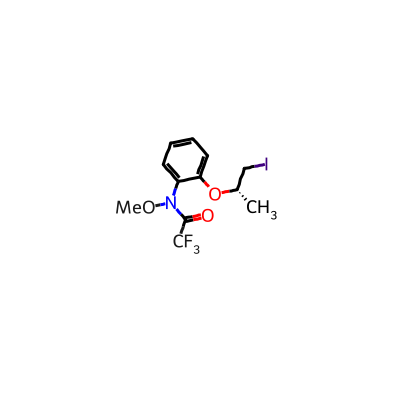 CON(C(=O)C(F)(F)F)c1ccccc1O[C@@H](C)CI